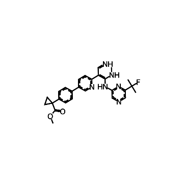 CN/C(Nc1cncc(C(C)(C)F)n1)=C(\C=N)c1ccc(-c2ccc(C3(C(=O)OC)CC3)cc2)cn1